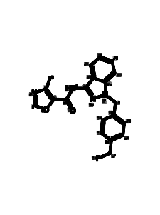 Cc1ncoc1C(=O)Nc1nn(Cc2ccc(CF)cc2)c2ccccc12